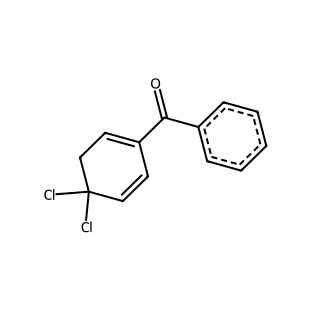 O=C(C1=CCC(Cl)(Cl)C=C1)c1ccccc1